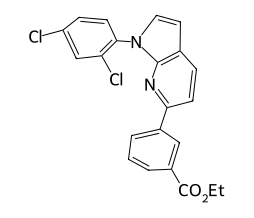 CCOC(=O)c1cccc(-c2ccc3ccn(-c4ccc(Cl)cc4Cl)c3n2)c1